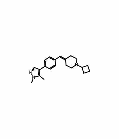 Cc1c(-c2ccc(C=C3CCN(C4CCC4)CC3)cc2)cnn1C